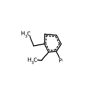 CCc1cccc([P])c1CC